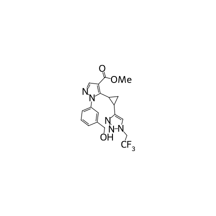 COC(=O)c1cnn(-c2cccc(CO)c2)c1C1CC1c1cn(CC(F)(F)F)nn1